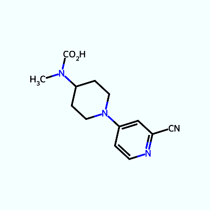 CN(C(=O)O)C1CCN(c2ccnc(C#N)c2)CC1